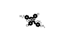 Cc1ccc(C=CC(c2ccc(Cl)cc2)S(=O)(=O)C(C=Cc2ccc(C)cc2C)c2ccc(Cl)cc2)c(C)c1